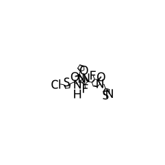 O=C(c1ccco1)n1nc(-c2ccn(Cc3cnsc3)c(=O)c2F)c(F)c1NCc1ccc(Cl)s1